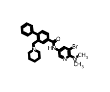 CN(C)c1ncc(NC(=O)c2ccc(-c3ccccc3)c(CN3CCCCC3)c2)cc1Br